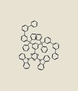 c1ccc(-c2cccc(-c3cccc([Si](c4ccccc4)(c4ccccc4)c4cc(-c5nc(-n6c7ccccc7c7ccccc76)nc(-n6c7ccccc7c7ccccc76)n5)cc([Si](c5ccccc5)(c5ccccc5)c5cccc(-c6cccc(-c7ccccc7)c6)c5)c4)c3)c2)cc1